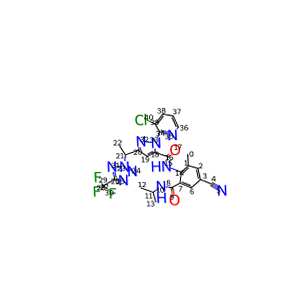 Cc1cc(C#N)cc(C(=O)NC(C)C)c1NC(=O)c1cc(C(C)n2nnc(C(F)(F)F)n2)nn1-c1ncccc1Cl